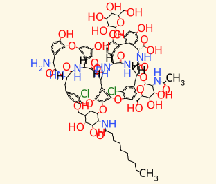 CCCCCCCCCC(=O)N[C@@H]1[C@@H](O)[C@H](O)[C@@H](CO)C[C@H]1Oc1c2cc3cc1Oc1ccc(cc1Cl)[C@@H](O[C@@H]1O[C@H](CO)[C@@H](O)[C@H](O)[C@H]1NC(C)=O)[C@@H]1NC(=O)[C@H](NC(=O)[C@@H]3NC(=O)[C@H]3NC(=O)[C@@H](Cc4ccc(c(Cl)c4)O2)NC(=O)[C@H](N)c2ccc(O)c(c2)Oc2cc(O)cc3c2)c2ccc(O)c(c2)-c2c(O[C@H]3O[C@H](CO)[C@@H](O)[C@H](O)[C@@H]3O)cc(O)cc2[C@H](C(=O)O)NC1=O